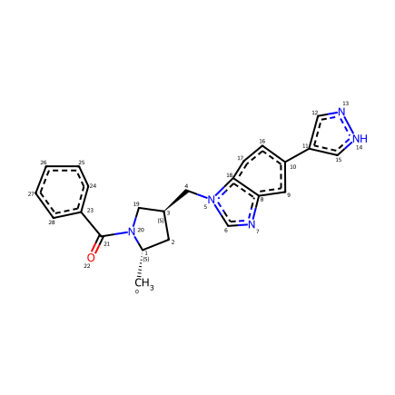 C[C@H]1C[C@H](Cn2cnc3cc(-c4cn[nH]c4)ccc32)CN1C(=O)c1ccccc1